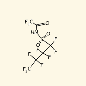 O=C(NS(=O)(=O)C(F)(F)C(F)(F)C(F)(F)C(F)(F)F)C(F)(F)F